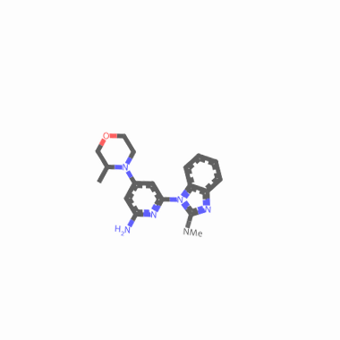 CNc1nc2ccccc2n1-c1cc(N2CCOCC2C)cc(N)n1